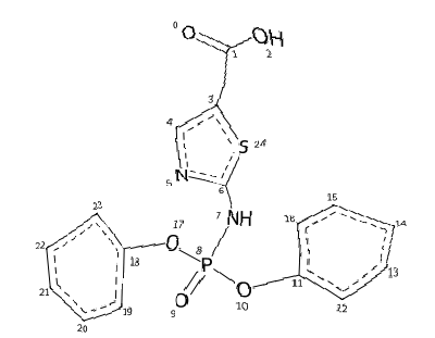 O=C(O)c1cnc(NP(=O)(Oc2ccccc2)Oc2ccccc2)s1